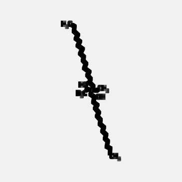 CCCCCCCCCCCCCCCCC(O)C[P+](CC)(CC)CC(O)CCCCCCCCCCCCCCCC.[Br-]